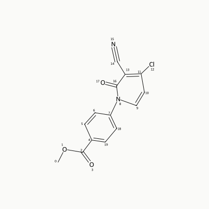 COC(=O)c1ccc(-n2ccc(Cl)c(C#N)c2=O)cc1